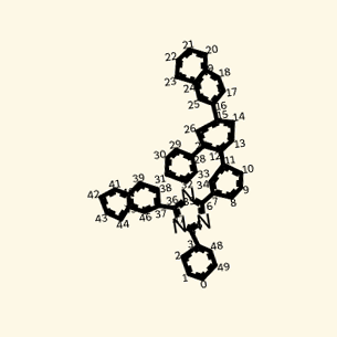 c1ccc(-c2nc(-c3cccc(-c4ccc(-c5ccc6ccccc6c5)cc4-c4ccccc4)c3)nc(-c3ccc4ccccc4c3)n2)cc1